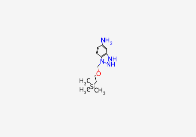 C[Si](C)(C)CCOCN1NNc2cc(N)ccc21